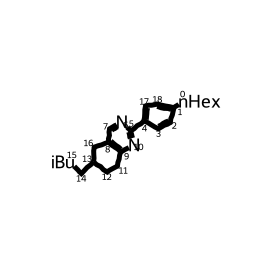 CCCCCCc1ccc(-c2ncc3c(n2)CCC(CC(C)CC)C3)cc1